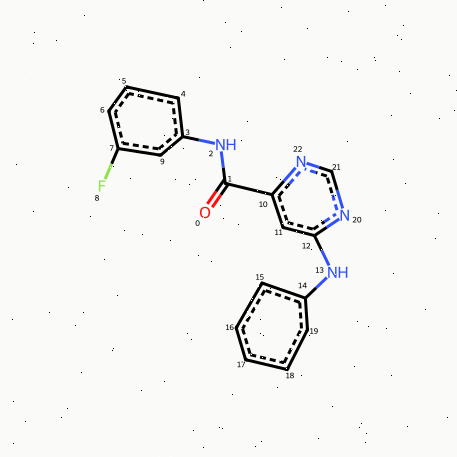 O=C(Nc1cccc(F)c1)c1cc(Nc2ccccc2)ncn1